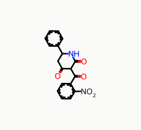 O=C1CC(c2ccccc2)NC(=O)C1C(=O)c1ccccc1[N+](=O)[O-]